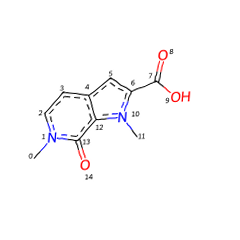 Cn1ccc2cc(C(=O)O)n(C)c2c1=O